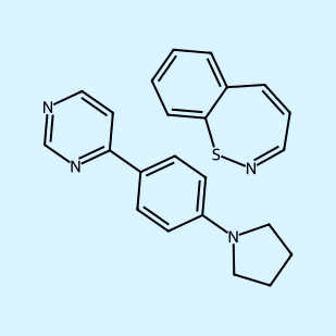 C1=Cc2ccccc2SN=C1.c1cc(-c2ccc(N3CCCC3)cc2)ncn1